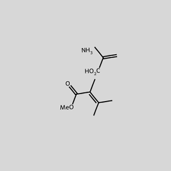 C=C(C)C(=O)O.COC(=O)C(C)=C(C)C.N